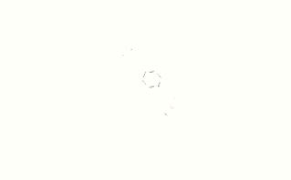 CCOC(=O)[C@H]1CC1c1ccc(B2OC(C)(C)C(C)(C)O2)cc1